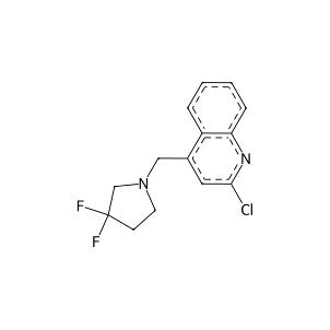 FC1(F)CCN(Cc2cc(Cl)nc3ccccc23)C1